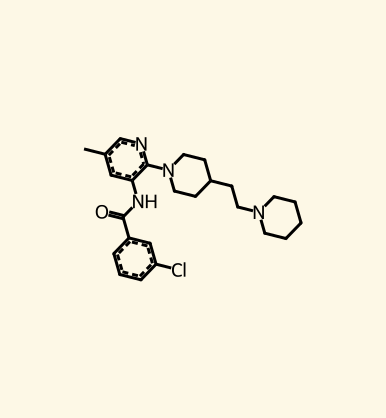 Cc1cnc(N2CCC(CCN3CCCCC3)CC2)c(NC(=O)c2cccc(Cl)c2)c1